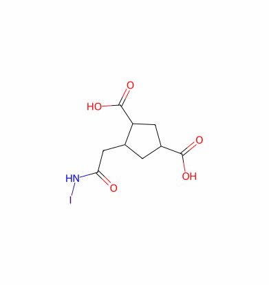 O=C(CC1CC(C(=O)O)CC1C(=O)O)NI